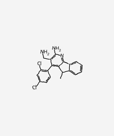 CC1c2ccccc2-c2nc(N)c(CN)c(-c3ccc(Cl)cc3Cl)c21